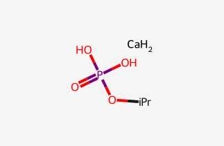 CC(C)OP(=O)(O)O.[CaH2]